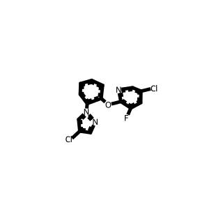 Fc1cc(Cl)cnc1Oc1ccccc1-n1cc(Cl)cn1